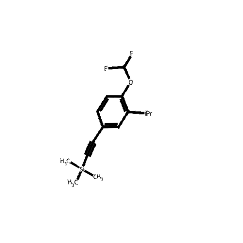 CC(C)c1cc(C#C[Si](C)(C)C)ccc1OC(F)F